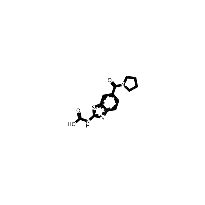 O=C(O)Nc1nc2ccc(C(=O)N3CCCC3)cc2s1